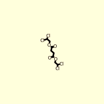 O=C(CCC(=O)OCC(Cl)Cl)OCC(Cl)Cl